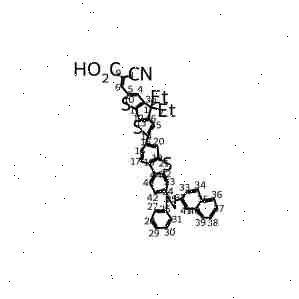 CCC1(CC)c2cc(/C=C(\C#N)C(=O)O)sc2-c2sc(-c3ccc4c(c3)sc3cc(N(c5ccccc5)c5ccc6ccccc6c5)ccc34)cc21